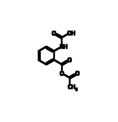 CC(=O)OC(=O)c1ccccc1NC(=O)O